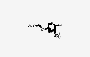 CCOc1cnc(Br)c(N)c1